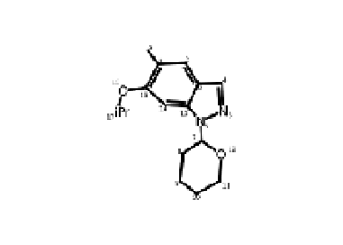 Cc1cc2cnn(C3CCCCO3)c2cc1OC(C)C